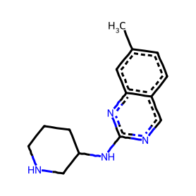 Cc1ccc2cnc(NC3CCCNC3)nc2c1